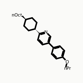 CCCCCCCC[C@H]1CC[C@H](c2ccc(-c3ccc(OCCC)cc3)cn2)CC1